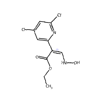 CCOC(=O)/C(=C\NO)c1cc(Cl)cc(Cl)n1